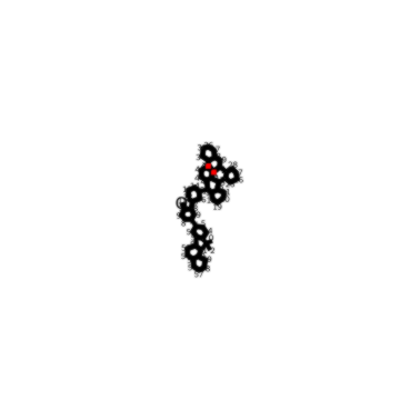 CC1(C)c2ccc(-c3ccc4oc5ccc(-c6c7ccccc7c(-c7ccccc7-c7ccc8ccccc8c7)c7ccccc67)cc5c4c3)cc2-c2ccc3ccccc3c21